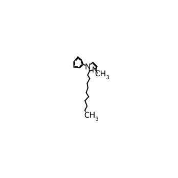 CCCCCCCCCCC1N(C)C=CN1c1ccccc1